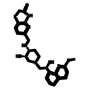 COc1ccc2cccc([C@H](O)CN3CC[C@@H](NCc4ccc5c(n4)NC(=O)CS5)[C@@H](O)C3)c2n1